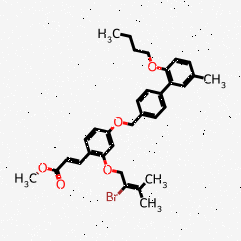 CCCCOc1ccc(C)cc1-c1ccc(COc2ccc(/C=C/C(=O)OC)c(OCC(Br)=C(C)C)c2)cc1